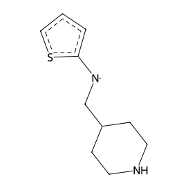 c1csc([N]CC2CCNCC2)c1